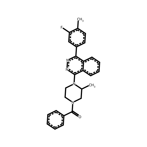 Cc1ccc(-c2nnc(N3CCN(C(=O)c4ccccc4)CC3C)c3ccccc23)cc1F